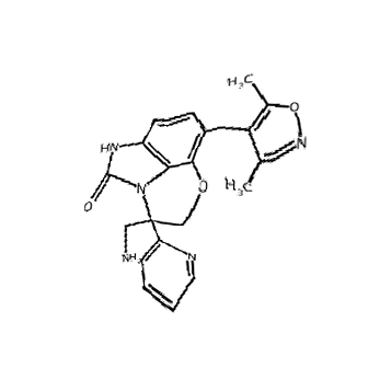 Cc1noc(C)c1-c1ccc2[nH]c(=O)n3c2c1OCC3(CN)c1ccccn1